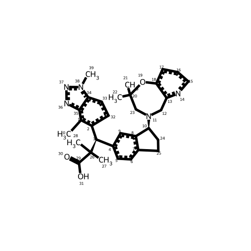 Cc1c([C@@H](c2ccc3c(c2)[C@@H](N2Cc4ncccc4OC(C)(C)C2)CC3)C(C)(C)C(=O)O)ccc2c1nnn2C